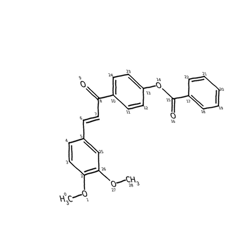 COc1ccc(/C=C/C(=O)c2ccc(OC(=O)c3ccccc3)cc2)cc1OC